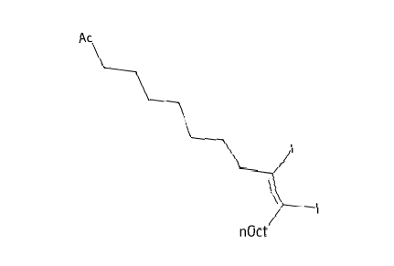 CCCCCCCC/C(I)=C(/I)CCCCCCCC(C)=O